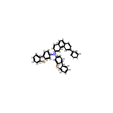 c1ccc(-c2ccc3ccc4ccc(N(c5ccc6c(c5)sc5ccccc56)c5ccc6c(c5)sc5ccccc56)cc4c3c2)cc1